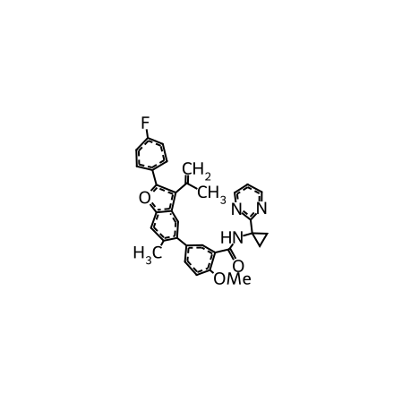 C=C(C)c1c(-c2ccc(F)cc2)oc2cc(C)c(-c3ccc(OC)c(C(=O)NC4(c5ncccn5)CC4)c3)cc12